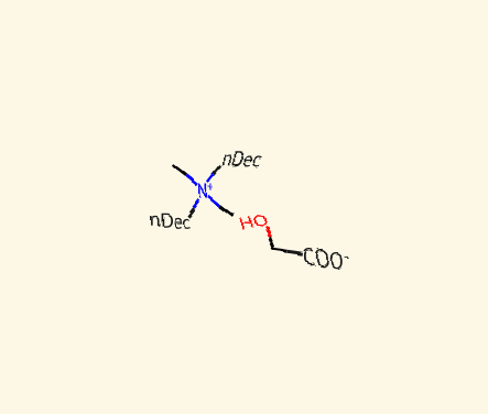 CCCCCCCCCC[N+](C)(C)CCCCCCCCCC.O=C([O-])CO